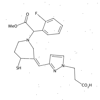 COC(=O)C(c1ccccc1F)N1CCC(S)/C(=C/c2ccn(CCC(=O)O)n2)C1